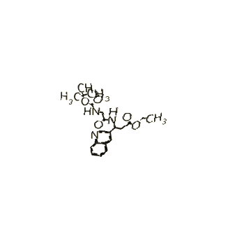 CCOC(=O)CC(NC(=O)CNC(=O)OC(C)(C)C)c1cnc2ccccc2c1